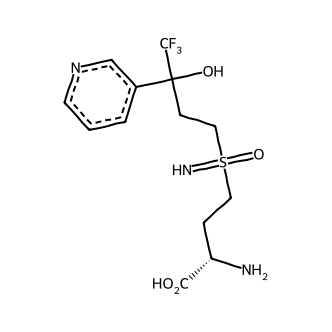 N=S(=O)(CC[C@H](N)C(=O)O)CCC(O)(c1cccnc1)C(F)(F)F